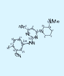 CCCc1cc(N2CCCC(NC)C2)nc(Nc2ccc(F)c(C#N)c2)n1